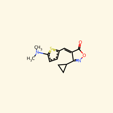 CN(C)c1ccc(C=C2C(=O)ON=C2C2CC2)s1